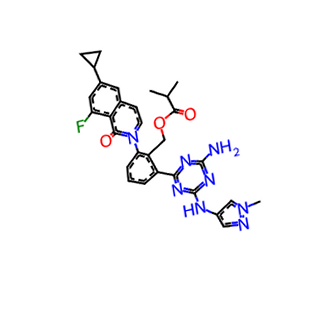 CC(C)C(=O)OCc1c(-c2nc(N)nc(Nc3cnn(C)c3)n2)cccc1-n1ccc2cc(C3CC3)cc(F)c2c1=O